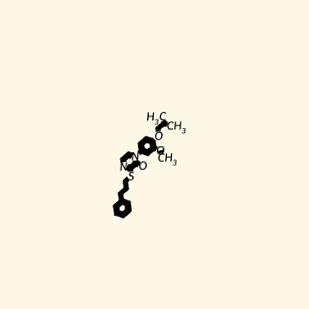 COc1cc(-n2ccnc(SCCCc3ccccc3)c2=O)ccc1OCC(C)C